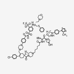 Cc1ncsc1-c1ccc([C@H](C)NC(=O)[C@@H]2C[C@@H](O)CN2C(=O)[C@@H](NC(=O)CCCCCN2CCN(C(=O)C3(C)CCC(c4ccc(Cl)cc4)=C(CN4CCN(c5ccc(C(=O)NS(=O)(=O)c6ccc(N[C@H](CCN7CCOCC7)CSc7ccccc7)c(S(=O)(=O)C(F)(F)F)c6)cc5)CC4)C3)CC2)C(C)(C)C)cc1